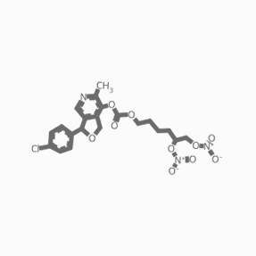 Cc1ncc2c(c1OC(=O)OCCCCC(CO[N+](=O)[O-])O[N+](=O)[O-])COC2c1ccc(Cl)cc1